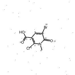 Cn1c(Cl)c(C(=O)O)cc(Br)c1=O